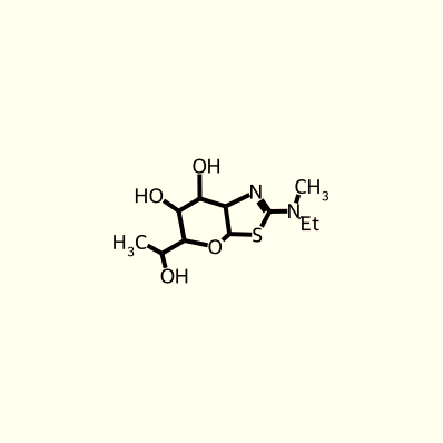 CCN(C)C1=NC2C(OC(C(C)O)C(O)C2O)S1